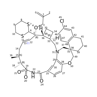 C=C(C)CO[C@@]1(C2SCCCS2)/C=C/C[C@H](C)[C@@H](C)S(=O)(=O)NC(=O)c2ccc3c(c2)N(C[C@@H]2CC[C@H]21)C[C@@]1(CCCc2cc(Cl)ccc21)CO3